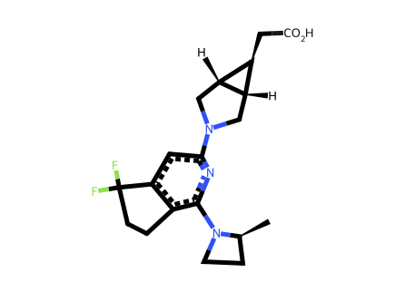 C[C@H]1CCN1c1nc(N2C[C@@H]3[C@@H](CC(=O)O)[C@@H]3C2)cc2c1CCC2(F)F